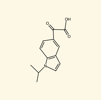 CC(C)n1ccc2cc(C(=O)C(=O)O)ccc21